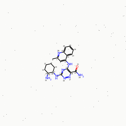 Cc1cc(Nc2nc(N[C@@H]3CCCC[C@@H]3N)nnc2C(N)=O)c2ccccc2n1